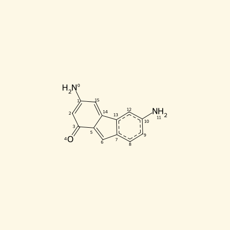 NC1=CC(=O)C2=Cc3ccc(N)cc3C2=C1